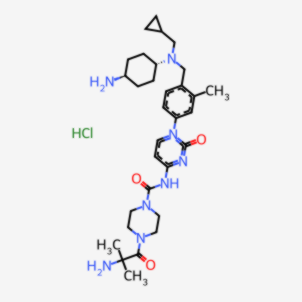 Cc1cc(-n2ccc(NC(=O)N3CCN(C(=O)C(C)(C)N)CC3)nc2=O)ccc1CN(CC1CC1)[C@H]1CC[C@H](N)CC1.Cl